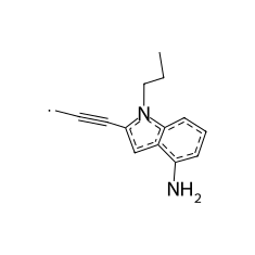 [CH2]C#Cc1cc2c(N)cccc2n1CCC